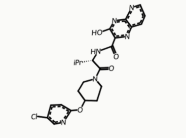 CC(C)[C@H](NC(=O)c1nc2cccnc2nc1O)C(=O)N1CCC(Oc2ccc(Cl)cn2)CC1